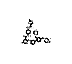 Cc1nc(C(=O)NC2CCC(NC(=O)c3cc(F)cnc3Oc3cccc(-c4ccc(CN5C[C@@H](C)N[C@H](C)C5)cc4CN4CCSCC4)c3)CC2)cs1